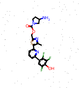 Cc1nc(COC(=O)N2CCC(N)C2)sc1-c1cccc(-c2cc(F)c(O)c(F)c2F)n1